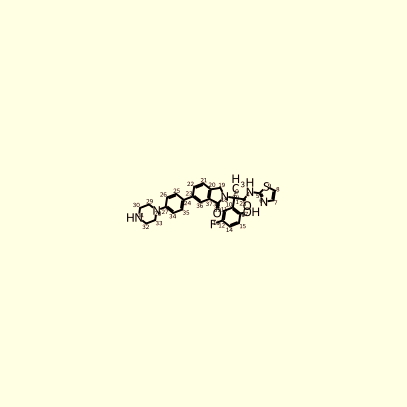 C[C@](C(=O)Nc1nccs1)(c1cc(F)ccc1O)N1Cc2ccc(-c3ccc(N4CCNCC4)cc3)cc2C1=O